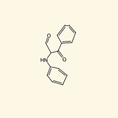 O=CC(Nc1ccccc1)C(=O)c1cc[c]cc1